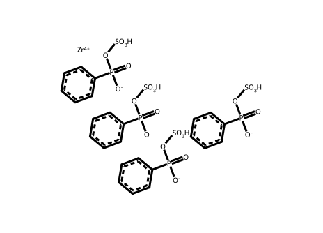 O=P([O-])(OS(=O)(=O)O)c1ccccc1.O=P([O-])(OS(=O)(=O)O)c1ccccc1.O=P([O-])(OS(=O)(=O)O)c1ccccc1.O=P([O-])(OS(=O)(=O)O)c1ccccc1.[Zr+4]